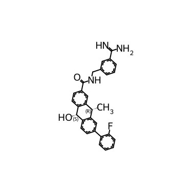 C[C@H]1c2cc(C(=O)NCc3cccc(C(=N)N)c3)ccc2[C@@H](O)c2ccc(-c3ccccc3F)cc21